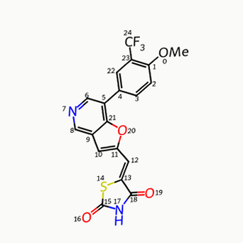 COc1ccc(-c2cncc3cc(/C=C4\SC(=O)NC4=O)oc23)cc1C(F)(F)F